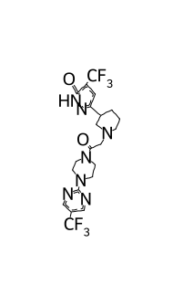 O=C(CN1CCCC(c2cc(C(F)(F)F)c(=O)[nH]n2)C1)N1CCN(c2ncc(C(F)(F)F)cn2)CC1